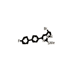 CSc1nc(-c2ccc(-c3ccc(F)cc3)cc2)cc2c(Br)cnn12